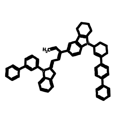 C=C/C(=C\C=C1/Cc2ccccc2N1c1cccc(-c2ccccc2)c1)c1ccc2c(c1)c1c(n2C2C=C(c3ccc(-c4ccccc4)cc3)CCC2)CCCC1